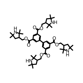 CC1(C)CC(COC(=O)c2cc(C(=O)OCC3CC(C)(C)NC3(C)C)cc(-c3cc(C(=O)OCC4CC(C)(C)NC4(C)C)cc(C(=O)OCC4CC(C)(C)NC4(C)C)c3)c2)C(C)(C)N1